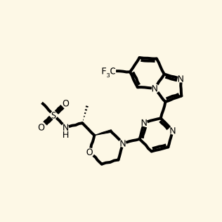 C[C@@H](NS(C)(=O)=O)[C@H]1CN(c2ccnc(-c3cnc4ccc(C(F)(F)F)cn34)n2)CCO1